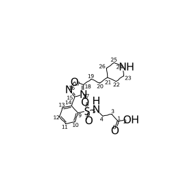 O=C(O)CCNS(=O)(=O)c1ccccc1-c1noc(CCC2CCNCC2)n1